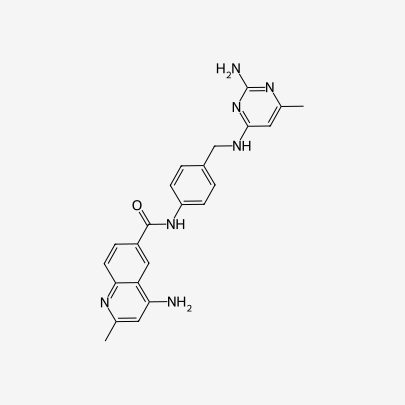 Cc1cc(NCc2ccc(NC(=O)c3ccc4nc(C)cc(N)c4c3)cc2)nc(N)n1